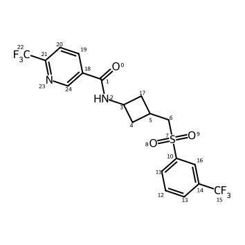 O=C(NC1CC(CS(=O)(=O)c2cccc(C(F)(F)F)c2)C1)c1ccc(C(F)(F)F)nc1